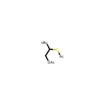 CCCCC(COC(C)=O)SC(C)=O